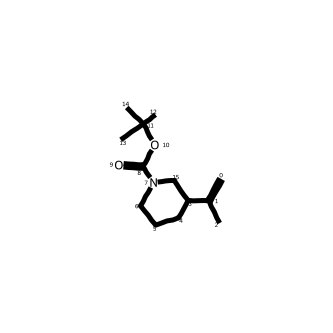 C=C(C)C1CCCN(C(=O)OC(C)(C)C)C1